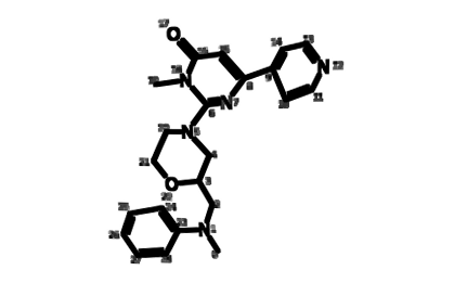 CN(CC1CN(c2nc(-c3ccncc3)cc(=O)n2C)CCO1)c1ccccc1